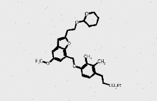 CCOC(=O)CCc1ccc(OCc2cc(OC(F)(F)F)cc3cc(CCOC4CCCCO4)oc23)c(C)c1C